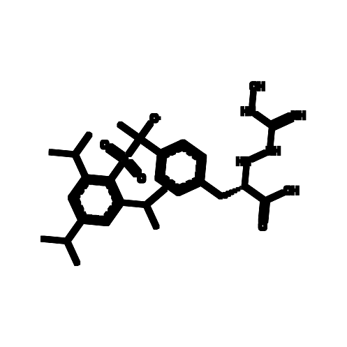 CC(C)c1cc(C(C)C)c(S(=O)(=O)C(C)([O])c2ccc(C[C@H](NNC(=N)NO)C(=O)O)cc2)c(C(C)C)c1